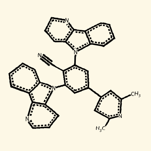 Cc1cc(-c2cc(-n3c4ccccc4c4ncccc43)c(C#N)c(-n3c4ccccc4c4ncccc43)c2)cc(C)n1